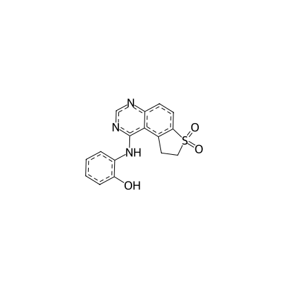 O=S1(=O)CCc2c1ccc1ncnc(Nc3ccccc3O)c21